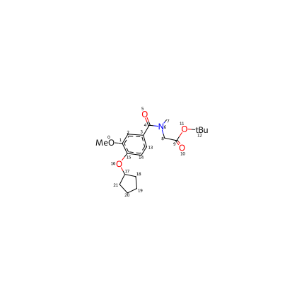 COc1cc(C(=O)N(C)CC(=O)OC(C)(C)C)ccc1OC1CCCC1